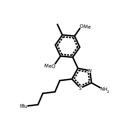 COc1cc(-c2nc(N)sc2CCCCC(C)(C)C)c(OC)cc1C